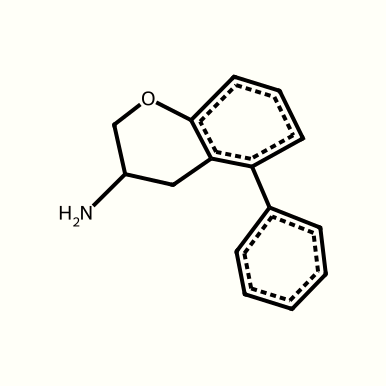 NC1COc2cccc(-c3ccccc3)c2C1